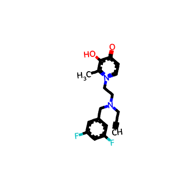 C#CCN(CCn1ccc(=O)c(O)c1C)Cc1cc(F)cc(F)c1